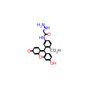 NNCC(=O)Nc1ccc(C(=O)O)c(-c2c3ccc(=O)cc-3oc3cc(O)ccc23)c1